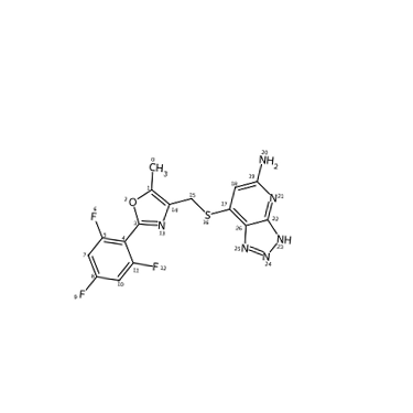 Cc1oc(-c2c(F)cc(F)cc2F)nc1CSc1cc(N)nc2[nH]nnc12